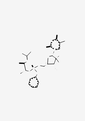 CC(C)OC(=O)[C@H](C)NP(=S)(OC[C@H]1O[C@@H](n2cc(F)c(=O)[nH]c2=O)[C@](F)(Cl)[C@@H]1O)Oc1ccccc1